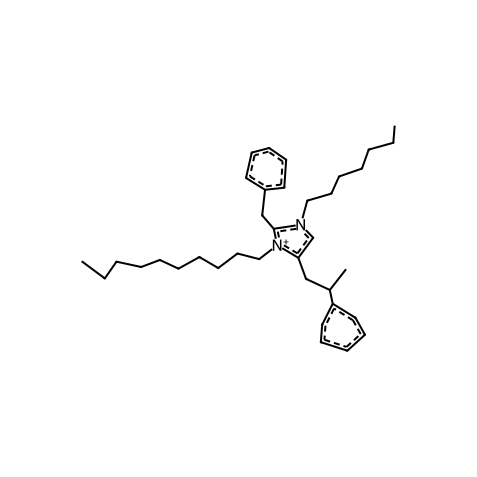 CCCCCCCCCC[n+]1c(CC(C)c2ccccc2)cn(CCCCCCC)c1Cc1ccccc1